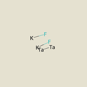 [F][K].[F][K].[Ta][Ta]